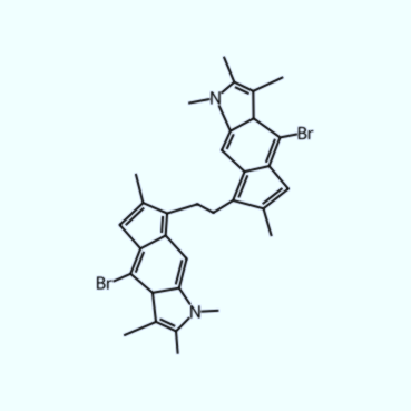 CC1=CC2=C(Br)C3C(=CC2=C1CCC1=C2C=C4C(C(C)=C(C)N4C)C(Br)=C2C=C1C)N(C)C(C)=C3C